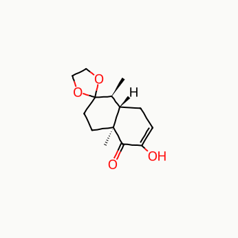 C[C@H]1[C@@H]2CC=C(O)C(=O)[C@@]2(C)CCC12OCCO2